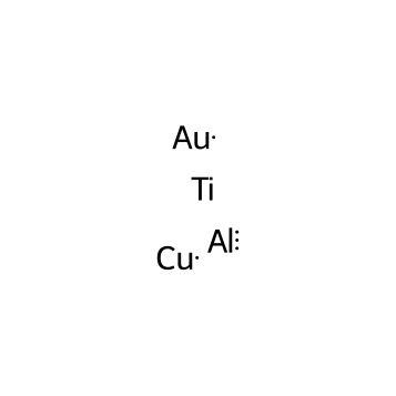 [Al].[Au].[Cu].[Ti]